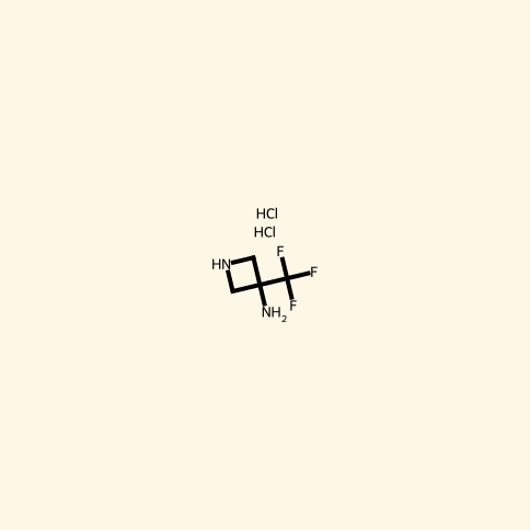 Cl.Cl.NC1(C(F)(F)F)CNC1